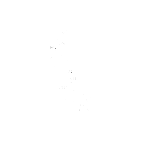 NS(=O)(=O)c1ccc(Nc2cc(-c3ccc(Nc4ccccc4)cc3)n[nH]2)cc1